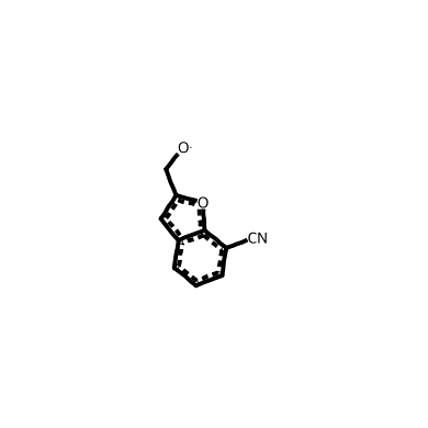 N#Cc1cccc2cc(C[O])oc12